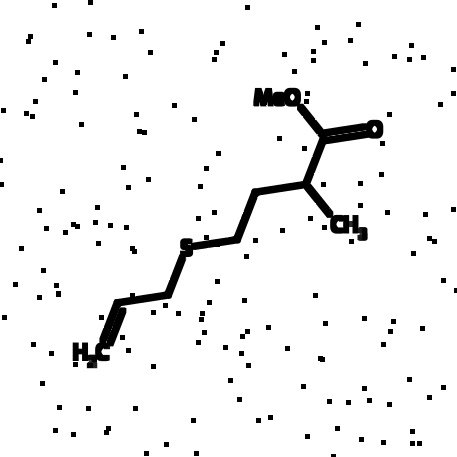 C=CCSCCC(C)C(=O)OC